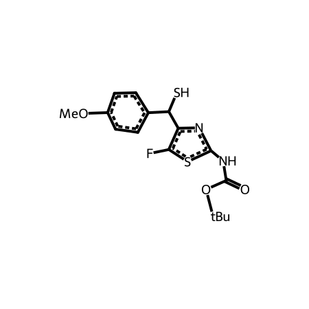 COc1ccc(C(S)c2nc(NC(=O)OC(C)(C)C)sc2F)cc1